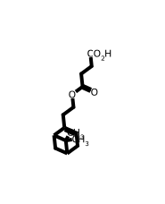 CC1(C)C2CC=C(CCOC(=O)CCC(=O)O)C1C2